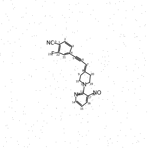 N#Cc1ccc(C#CC=C2CCN(c3ncccc3N=O)CC2)cc1F